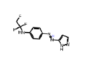 FCC(F)(F)Nc1ccc(/N=N/c2ccn[nH]2)cc1